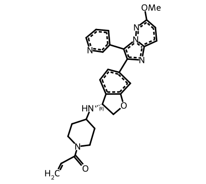 C=CC(=O)N1CCC(N[C@H]2COc3cc(-c4nc5ccc(OC)nn5c4-c4cccnc4)ccc32)CC1